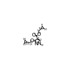 Cn1cc(C(=O)OCC2CC2)c(OCC2CC2)n1